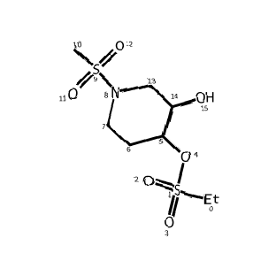 CCS(=O)(=O)OC1CCN(S(C)(=O)=O)CC1O